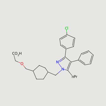 CCCc1c(-c2ccccc2)c(-c2ccc(Cl)cc2)nn1CC1CCC(COCC(=O)O)CC1